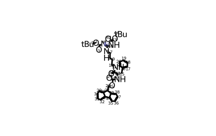 CC(C)(C)OC(=O)/N=C(\NCCCCNC(=O)[C@H](Cc1ccccc1)NC(=O)OCC1c2ccccc2-c2ccccc21)NC(=O)OC(C)(C)C